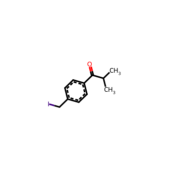 CC(C)C(=O)c1ccc(CI)cc1